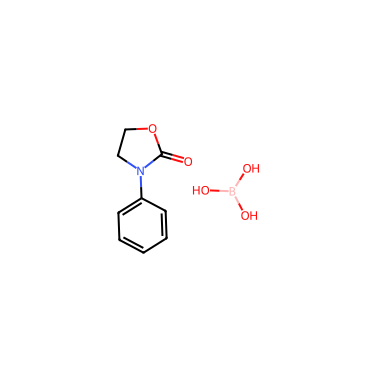 O=C1OCCN1c1ccccc1.OB(O)O